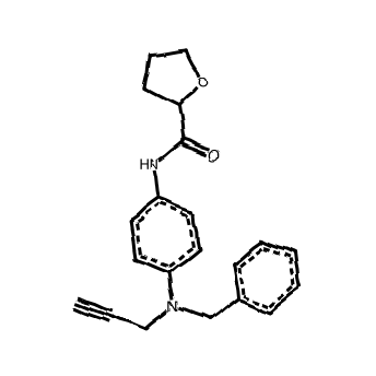 C#CCN(Cc1ccccc1)c1ccc(NC(=O)C2CCCO2)cc1